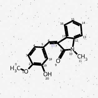 COc1ccc(/C=C2\C(=O)N(C)c3ccccc32)cc1O